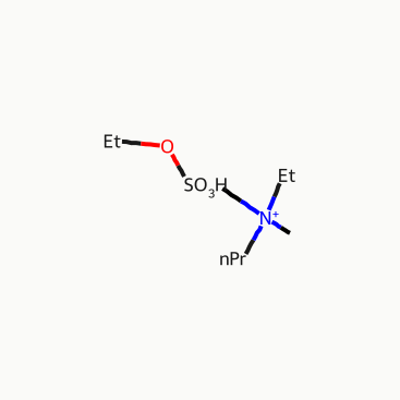 CCC[N+](C)(C)CC.CCOS(=O)(=O)O